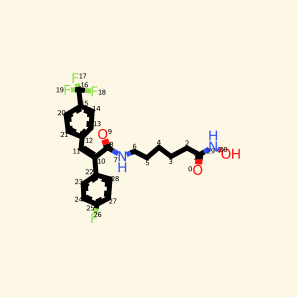 O=C(CCCCCNC(=O)/C(=C\c1ccc(C(F)(F)F)cc1)c1ccc(F)cc1)NO